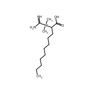 CCCCCCCCCC(C(=O)O)[N+](C)(C)C(=N)N